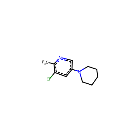 FC(F)(F)c1ncc(N2CCCCC2)cc1Cl